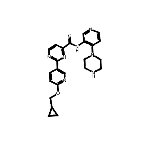 O=C(Nc1cnccc1N1CCNCC1)c1ccnc(-c2ccc(OCC3CC3)nc2)n1